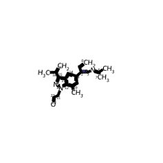 C=C/C(=C\N=C(C)C)c1cc(C)c2c(c1)c(C(=C)C)nn2CC=O